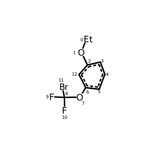 CCOc1cccc(OC(F)(F)Br)c1